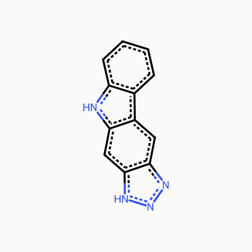 c1ccc2c(c1)[nH]c1cc3[nH]nnc3cc12